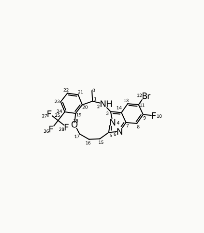 CC1Nc2nc(nc3cc(F)c(Br)cc23)CCCOc2c1cccc2C(F)(F)F